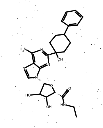 CCNC(=O)[C@H]1O[C@@H](n2cnc3c(N)nc(C4(O)CCC(c5ccccc5)CC4)nc32)C(O)C1O